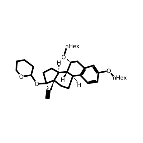 C#C[C@]1(OC2CCCCO2)CC[C@H]2[C@H]3[C@H](CC[C@@]21C)c1ccc(OCCCCCC)cc1C[C@H]3OCCCCCC